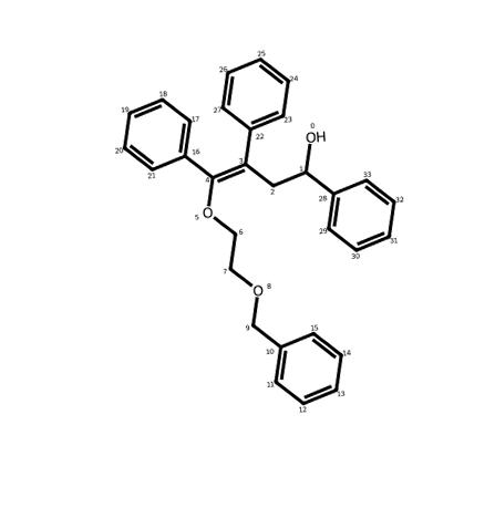 OC(CC(=C(OCCOCc1ccccc1)c1ccccc1)c1ccccc1)c1ccccc1